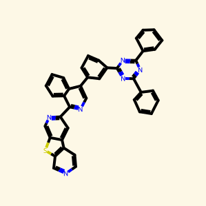 c1ccc(-c2nc(-c3ccccc3)nc(-c3cccc(-c4cnc(-c5cc6c(cn5)sc5cnccc56)c5ccccc45)c3)n2)cc1